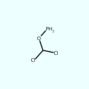 POC(Cl)Cl